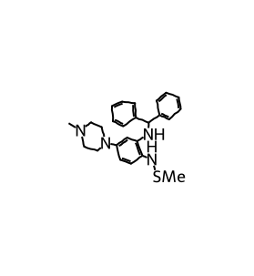 CSNc1ccc(N2CCN(C)CC2)cc1NC(c1ccccc1)c1ccccc1